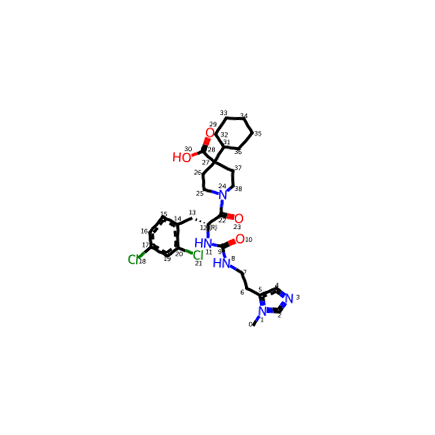 Cn1cncc1CCNC(=O)N[C@H](Cc1ccc(Cl)cc1Cl)C(=O)N1CCC(C(=O)O)(C2CCCCC2)CC1